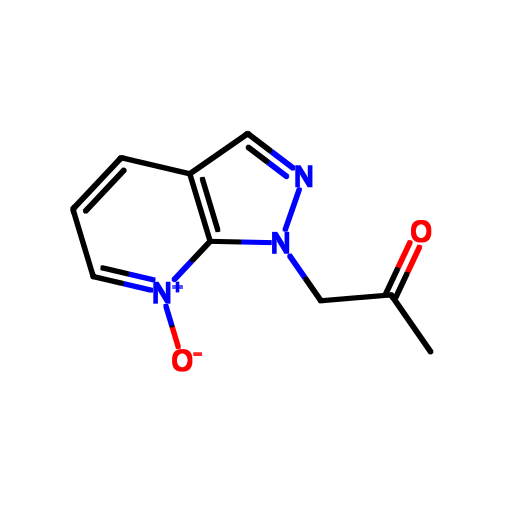 CC(=O)Cn1ncc2ccc[n+]([O-])c21